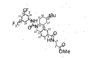 COC(=O)CCNC(=O)c1ccc(CN(C(=O)Nc2cc(C(F)(F)F)cc(C(F)(F)F)c2)C2CCC(C(C)(C)C)CC2)cc1